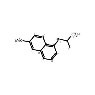 COc1cnc2c(NC(C)C(=O)O)cccc2c1